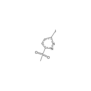 CS(=O)(=O)c1ccc(I)nn1